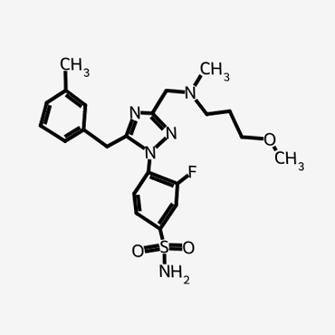 COCCCN(C)Cc1nc(Cc2cccc(C)c2)n(-c2ccc(S(N)(=O)=O)cc2F)n1